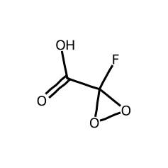 O=C(O)C1(F)OO1